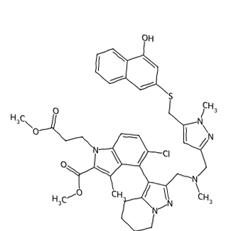 COC(=O)CCn1c(C(=O)OC)c(C)c2c(-c3c(CN(C)Cc4cc(CSc5cc(O)c6ccccc6c5)n(C)n4)nn4c3CCCC4)c(Cl)ccc21